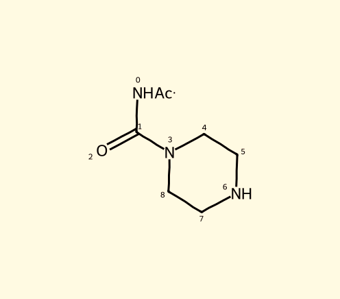 CC(=O)[N]C(=O)N1CCNCC1